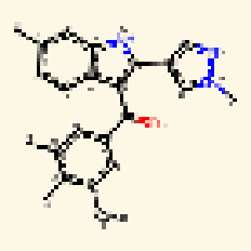 COc1cc(C(=O)c2c(-c3cnn(C)c3)[nH]c3cc(C)ccc23)cc(C)c1C